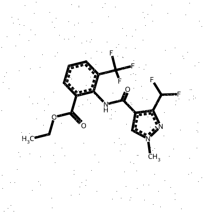 CCOC(=O)c1cccc(C(F)(F)F)c1NC(=O)c1cn(C)nc1C(F)F